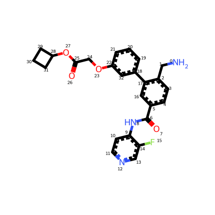 NCc1ccc(C(=O)Nc2ccncc2F)cc1-c1cccc(OCC(=O)OC2CCC2)c1